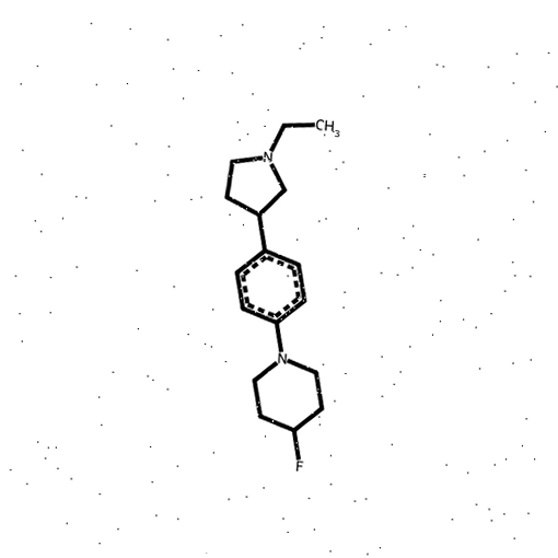 CCN1CCC(c2ccc(N3CCC(F)CC3)cc2)C1